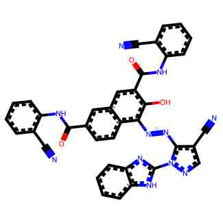 N#Cc1ccccc1NC(=O)c1ccc2c(/N=N/c3c(C#N)cnn3-c3nc4ccccc4[nH]3)c(O)c(C(=O)Nc3ccccc3C#N)cc2c1